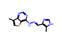 Cc1[nH]cnc1C=NNc1ncnc2c(C)csc12